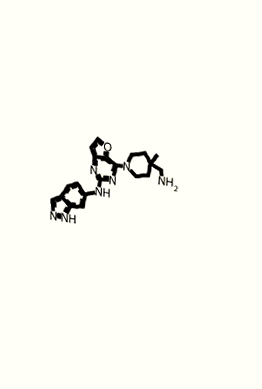 CC1(CN)CCN(c2nc(Nc3ccc4cn[nH]c4c3)nc3ccoc23)CC1